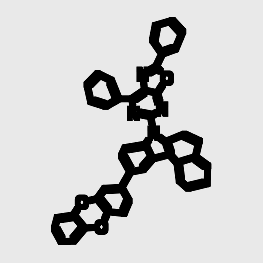 c1ccc(-c2nc3c(-c4ccccc4)nc(-n4c5ccc(-c6ccc7c(c6)Oc6ccccc6O7)cc5c5c6ccccc6ccc54)nc3o2)cc1